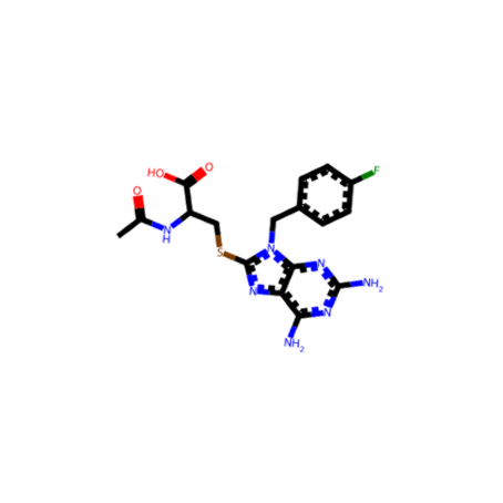 CC(=O)NC(CSc1nc2c(N)nc(N)nc2n1Cc1ccc(F)cc1)C(=O)O